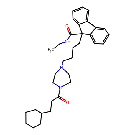 O=C(CCC1CCCCC1)N1CCN(CCCCC2(C(=O)NCC(F)(F)F)c3ccccc3-c3ccccc32)CC1